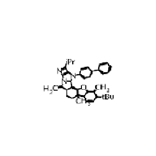 C=C1C2OC3=C4C(CCC3(C)C2C=CC1C(C)(C)C)C(=C)N1C2=C(C(C(C)C)=N2)N(C2=CCC(c3ccccc3)C=C2)C41